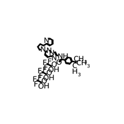 CC(C)(C)c1ccc(C(=O)Nc2cn3nc(N4CCCC4c4ccccn4)ccc3n2)cc1.O=C(O)C(F)(F)F.O=C(O)C(F)(F)F.O=C(O)C(F)(F)F